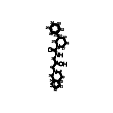 O=C(NCC(O)CN1CCc2ccsc2C1)N1CCCC(c2ccccc2)C1